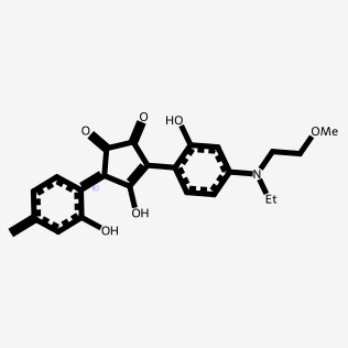 C=c1cc/c(=C2\C(=O)C(=O)C(c3ccc(N(CC)CCOC)cc3O)=C2O)c(O)c1